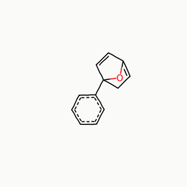 C1=CC2(c3ccccc3)CC=C1O2